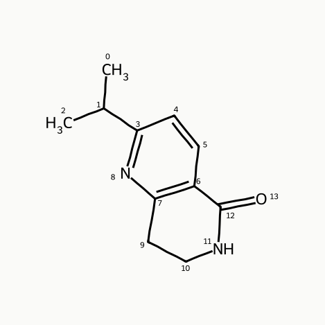 CC(C)c1ccc2c(n1)CCNC2=O